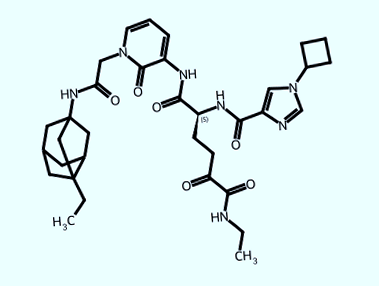 CCNC(=O)C(=O)CC[C@H](NC(=O)c1cn(C2CCC2)cn1)C(=O)Nc1cccn(CC(=O)NC23CC4CC(C2)C(CC)(C4)C3)c1=O